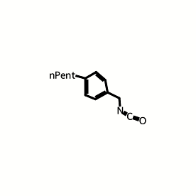 CCCCCc1ccc(CN=C=O)cc1